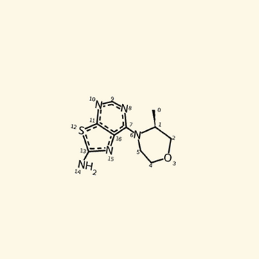 C[C@H]1COCCN1c1ncnc2sc(N)nc12